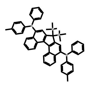 Cc1ccc(N(c2ccccc2)c2cc3c(c4ccccc24)-c2c(cc(N(c4ccccc4)c4ccc(C)cc4)c4ccccc24)C3([Si](C)(C)C)[Si](C)(C)C)cc1